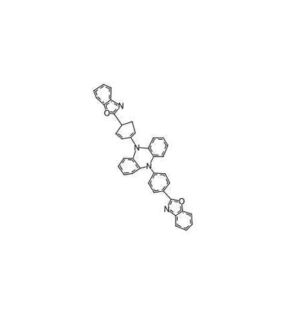 C1=CC(c2nc3ccccc3o2)CC=C1N1c2ccccc2N(c2ccc(-c3nc4ccccc4o3)cc2)c2ccccc21